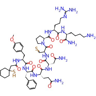 COc1ccc(C[C@H](NC(=O)CC2(S)CCCCC2)C(=O)N[C@@H](Cc2ccccc2)C(=O)N[C@@H](CCC(N)=O)C(=O)N[C@@H](CC(N)=O)C(=O)N[C@@H](C=S)C(=O)N2CCC[C@H]2C(=O)N[C@@H](CCCN=C(N)N)C(=O)N[C@@H](CCCCN)C(N)=O)cc1